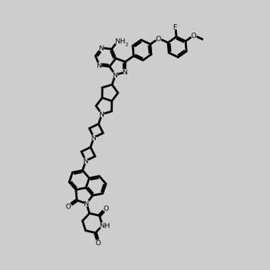 COc1cccc(Oc2ccc(-c3nn(C4CC5CN(C6CN(C7CN(c8ccc9c%10c(cccc8%10)N(C8CCC(=O)NC8=O)C9=O)C7)C6)CC5C4)c4ncnc(N)c34)cc2)c1F